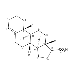 C[C@]12CCCC=C1CC[C@@H]1[C@@H]2CC[C@]2(C)C(C(=O)O)CC[C@@H]12